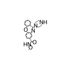 CONC(=O)c1ccc2c(c1)N=C(N1CCNCC1)c1ccccc1O2